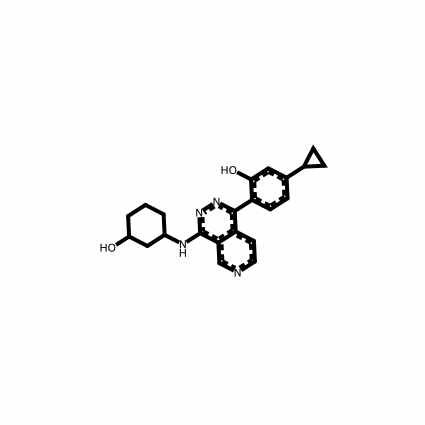 Oc1cc(C2CC2)ccc1-c1nnc(NC2CCCC(O)C2)c2cnccc12